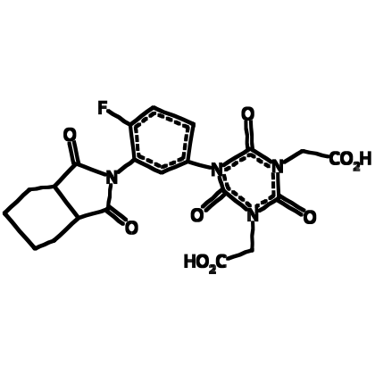 O=C(O)Cn1c(=O)n(CC(=O)O)c(=O)n(-c2ccc(F)c(N3C(=O)C4CCCCC4C3=O)c2)c1=O